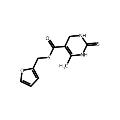 CC1=C(C(=O)SCc2ccco2)CNC(=S)N1